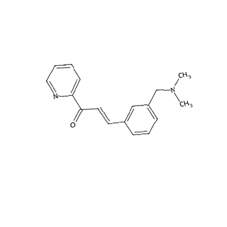 CN(C)Cc1cccc(C=CC(=O)c2ccccn2)c1